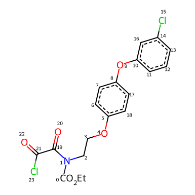 CCOC(=O)N(CCOc1ccc(Oc2cccc(Cl)c2)cc1)C(=O)C(=O)Cl